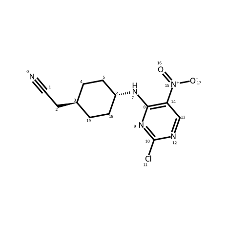 N#CC[C@H]1CC[C@H](Nc2nc(Cl)ncc2[N+](=O)[O-])CC1